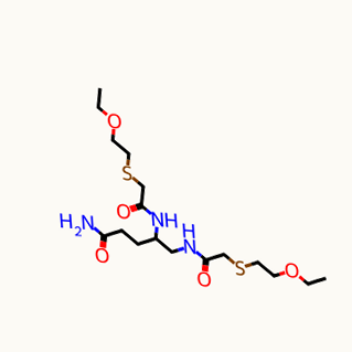 CCOCCSCC(=O)NCC(CCC(N)=O)NC(=O)CSCCOCC